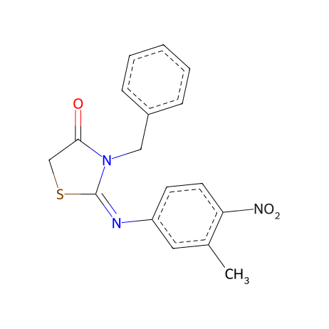 Cc1cc(N=C2SCC(=O)N2Cc2ccccc2)ccc1[N+](=O)[O-]